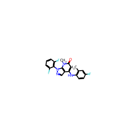 Cc1cc(F)ccc1Nc1cc(=O)n(C)c2c1cnn2-c1c(F)cccc1F